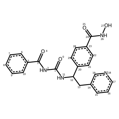 O=C(NC(=O)c1ccccc1)NC(Cc1cccnc1)c1ccc(C(=O)NO)cc1